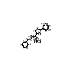 Cl.Cl.O=C(NCCc1ccccc1)C1CSC(c2cccnc2)N1